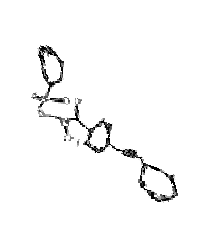 CN(OS(=O)(=O)c1ccccc1)C(=O)c1ccc(C#Cc2ccccc2)cc1